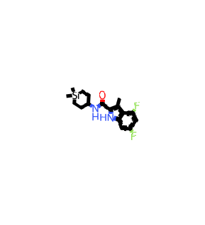 Cc1c(C(=O)NC2CC[Si](C)(C)CC2)[nH]c2cc(F)cc(F)c12